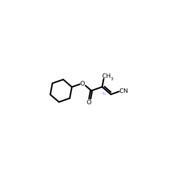 C/C(=C\C#N)C(=O)OC1CCCCC1